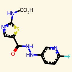 O=C(O)Nc1ncc(C(=O)NNc2ccc(F)nc2)s1